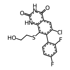 O=c1[nH]c(=O)c2cc(Cl)c(-c3ccc(F)cc3F)c(SCCO)c2[nH]1